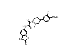 COc1ccc(N2CCN(C(=O)C(=O)Nc3ccc4[nH]c(=O)oc4c3)[C@H](C)C2)cc1F